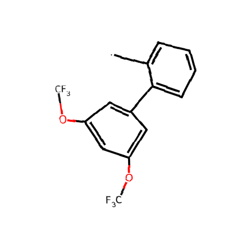 [CH2]c1ccccc1-c1cc(OC(F)(F)F)cc(OC(F)(F)F)c1